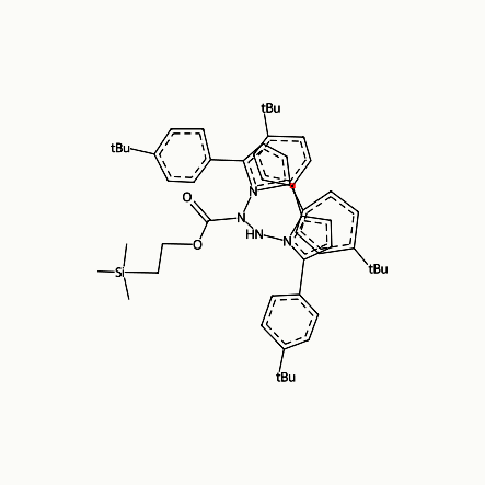 CC(C)(C)c1ccc(-c2ccc(-c3ccc(C(C)(C)C)cc3)n2NN(C(=O)OCC[Si](C)(C)C)n2c(-c3ccc(C(C)(C)C)cc3)ccc2-c2ccc(C(C)(C)C)cc2)cc1